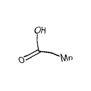 O=[C](O)[Mn]